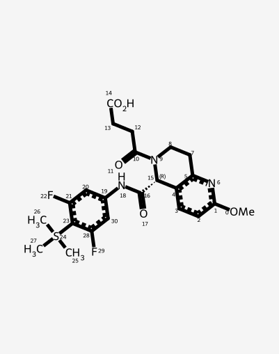 COc1ccc2c(n1)CCN(C(=O)CCC(=O)O)[C@H]2C(=O)Nc1cc(F)c(S(C)(C)C)c(F)c1